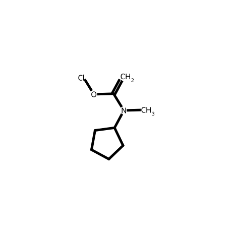 C=C(OCl)N(C)C1CCCC1